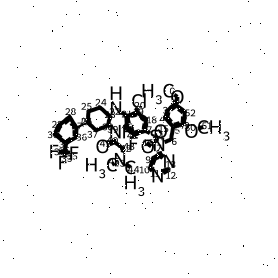 COc1ccc(CN(c2ccncn2)S(=O)(=O)c2cc(Cl)c(NC3CC[C@H](c4cccc(C(F)(F)F)c4)CC3NC(=O)CN(C)C)cc2F)c(OC)c1